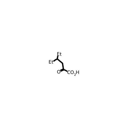 CCC(CC)CC(=O)C(=O)O